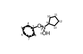 ON(Oc1ccccc1)C1CCCC1